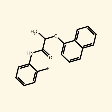 CC(Oc1cccc2ccccc12)C(=O)Nc1ccccc1F